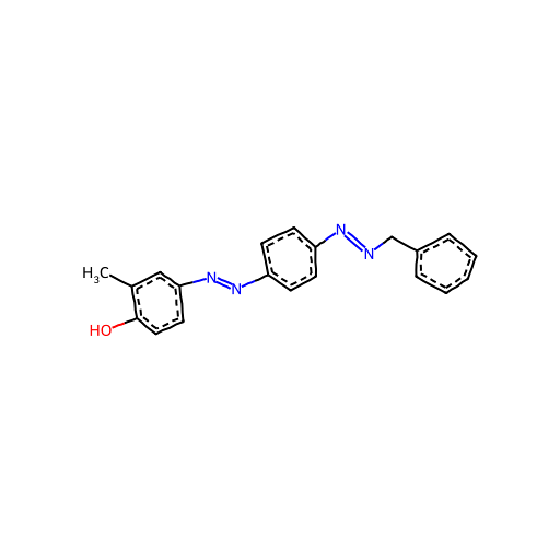 Cc1cc(N=Nc2ccc(N=NCc3ccccc3)cc2)ccc1O